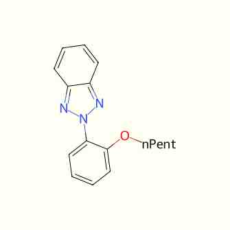 CCCCCOc1ccccc1-n1nc2ccccc2n1